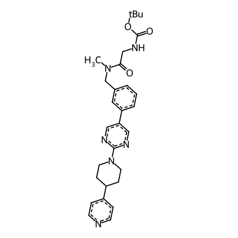 CN(Cc1cccc(-c2cnc(N3CCC(c4ccncc4)CC3)nc2)c1)C(=O)CNC(=O)OC(C)(C)C